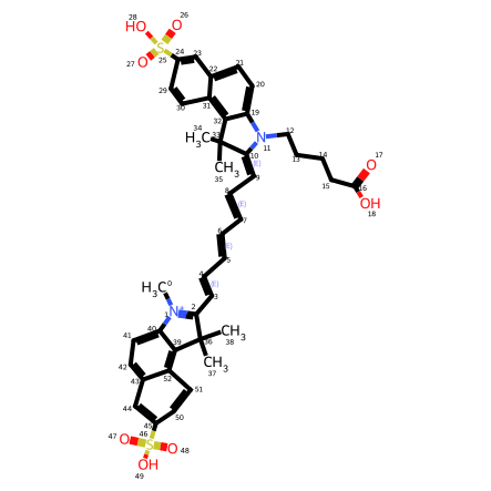 C[N+]1=C(/C=C/C=C/C=C/C=C2/N(CCCCC(=O)O)c3ccc4cc(S(=O)(=O)O)ccc4c3C2(C)C)C(C)(C)c2c1ccc1cc(S(=O)(=O)O)ccc21